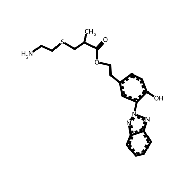 CC(CSCCN)C(=O)OCCc1ccc(O)c(-n2nc3ccccc3n2)c1